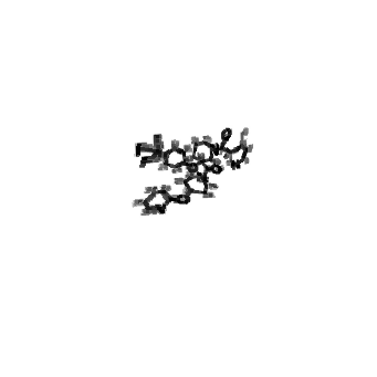 Cc1ccncc1C(=O)N1CCCC(Oc2ccc(C(F)(F)F)cc2)(C(=O)N2CCC(Oc3ccccn3)CC2)C1